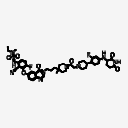 CCN(C)S(=O)(=O)Nc1ccc(F)c(Oc2ccc3ncn(CCCC4(C)CCN(C(=O)CN5CCC(c6ccc(NC7CCC(=O)NC7=O)cc6F)CC5)CC4)c(=O)c3c2)c1C#N